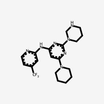 FC(F)(F)c1ccnc(Nc2cc(N3CCCCC3)nc(N3CCCNC3)n2)c1